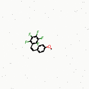 COc1ccc(/C=C\c2c(F)c(F)c(F)c(F)c2F)cc1